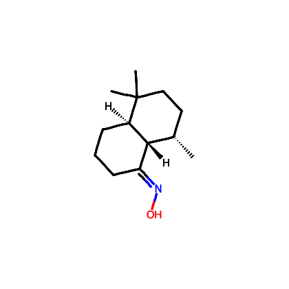 C[C@H]1CCC(C)(C)[C@@H]2CCCC(=NO)[C@H]21